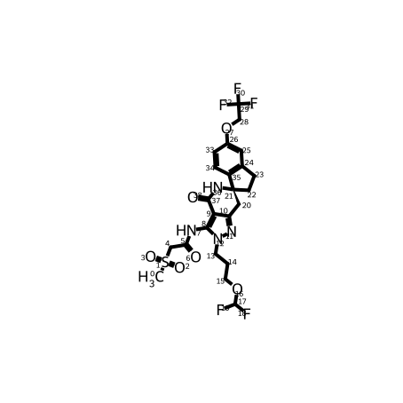 CS(=O)(=O)CC(=O)Nc1c2c(nn1CCCOC(F)F)C[C@@]1(CCc3cc(OCC(F)(F)F)ccc31)NC2=O